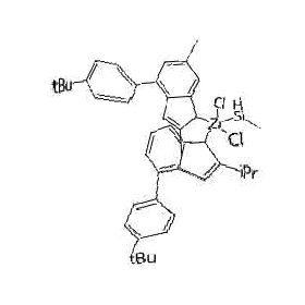 CC1=Cc2c(-c3ccc(C(C)(C)C)cc3)cc(C)cc2[CH]1[Zr]([Cl])([Cl])([CH]1C(C(C)C)=Cc2c(-c3ccc(C(C)(C)C)cc3)cccc21)[SiH](C)C